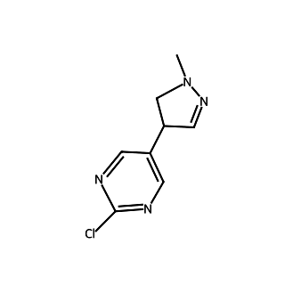 CN1CC(c2cnc(Cl)nc2)C=N1